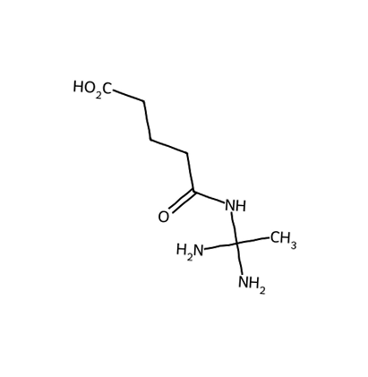 CC(N)(N)NC(=O)CCCC(=O)O